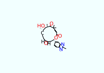 Cc1nc2cc([C@@H]3C[C@@H]4O[C@H]4CCC[C@H](C)[C@H](O)[C@@H](C)C(=O)C(C)(C)/C=C/C(=O)O3)ccc2n1C